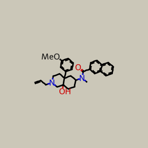 C=CCN1CCC2(c3cccc(OC)c3)CC(N(C)C(=O)c3ccc4ccccc4c3)CCC2(O)C1